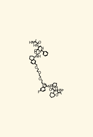 CN[C@@H](C)C(=O)Nc1cnc(-c2ccccc2)n(CC(=O)NC2CCCc3ccc(COCCOCCOCCn4cc(NC[C@@H]5CCCN5C(=O)[C@@H](NC(=O)[C@H](C)NC)C5CCCCC5)c5ccc(F)cc54)cc32)c1=O